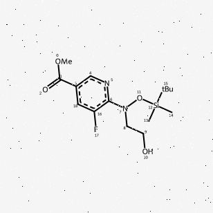 COC(=O)c1cnc(N(CCO)O[Si](C)(C)C(C)(C)C)c(F)c1